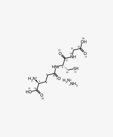 N.N.N[C@@H](CCC(=O)N[C@@H](CS)C(=O)NCC(=O)O)C(=O)O